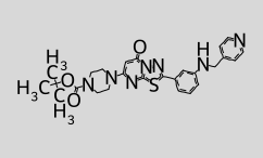 CC(C)(C)OC(=O)N1CCN(c2cc(=O)n3nc(-c4cccc(NCc5ccncc5)c4)sc3n2)CC1